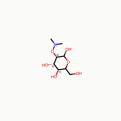 CN(C)O[C@H]1C(O)OC(CO)[C@@H](O)[C@@H]1O